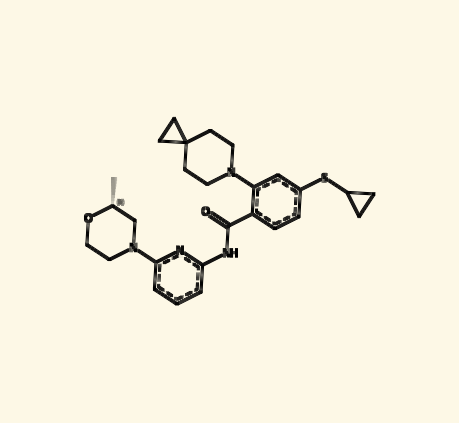 C[C@@H]1CN(c2cccc(NC(=O)c3ccc(SC4CC4)cc3N3CCC4(CC3)CC4)n2)CCO1